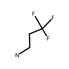 [N]CCC(F)(F)F